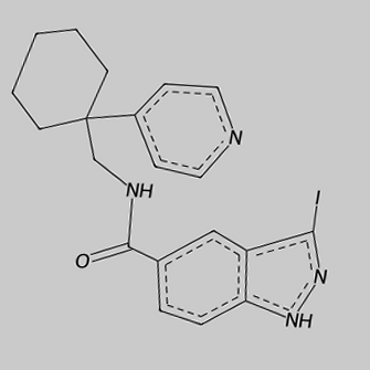 O=C(NCC1(c2ccncc2)CCCCC1)c1ccc2[nH]nc(I)c2c1